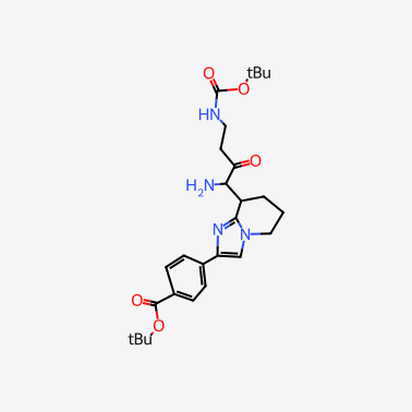 CC(C)(C)OC(=O)NCCC(=O)C(N)C1CCCn2cc(-c3ccc(C(=O)OC(C)(C)C)cc3)nc21